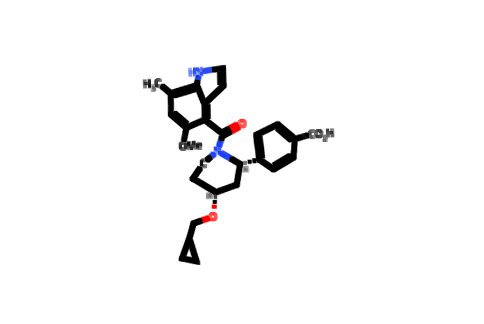 COc1cc(C)c2[nH]ccc2c1C(=O)N1CC[C@@H](OCC2CC2)C[C@H]1c1ccc(C(=O)O)cc1